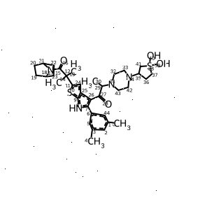 Cc1cc(C)cc(-c2[nH]c3sc(C(C)(C)C(=O)N4C5CCC4CC5)cc3c2C(=O)C(C)N2CCN(C3CCS(O)(O)C3)CC2)c1